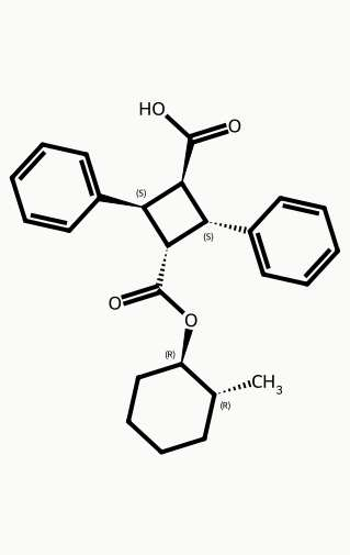 C[C@@H]1CCCC[C@H]1OC(=O)[C@H]1[C@@H](c2ccccc2)[C@H](C(=O)O)[C@@H]1c1ccccc1